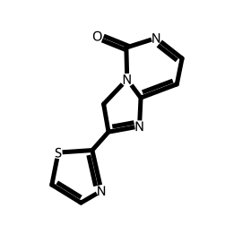 O=c1nccc2n1CC(c1nccs1)=N2